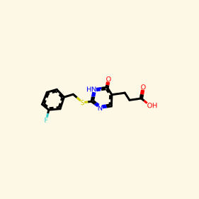 O=C(O)CCc1cnc(SCc2cccc(F)c2)[nH]c1=O